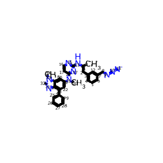 CC(Cc1cccc(CN=[N+]=[N-])c1)Nc1nccc(N(C)c2cc(-c3ccccc3)c3ncn(C)c3c2)n1